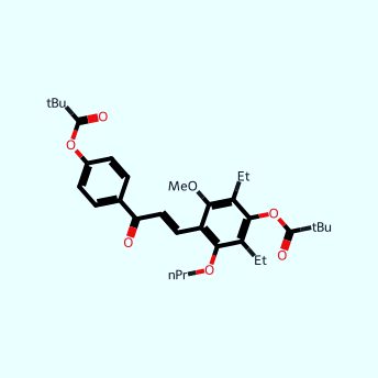 CCCOc1c(C=CC(=O)c2ccc(OC(=O)C(C)(C)C)cc2)c(OC)c(CC)c(OC(=O)C(C)(C)C)c1CC